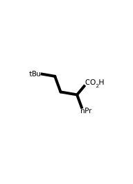 CCCC(CCC(C)(C)C)C(=O)O